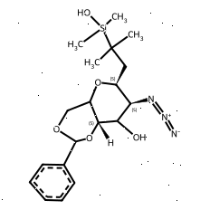 CC(C)(C[C@@H]1OC2COC(c3ccccc3)O[C@H]2C(O)[C@@H]1N=[N+]=[N-])[Si](C)(C)O